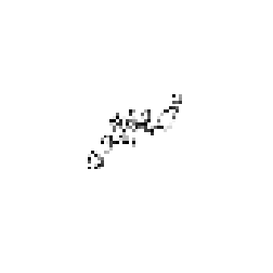 O=C(Cc1ccccc1)Nc1n[nH]c2sc(C(=O)Nc3cccc(Cl)c3)cc12